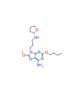 CCCCOc1nc(N)c2nc(OC)n(CCCN[C@@H]3CCCO3)c2n1